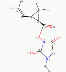 C#CCN1CC(=O)N(OC(=O)[C@H]2[C@@H](C=C(C)C)C2(C)C)C1=O